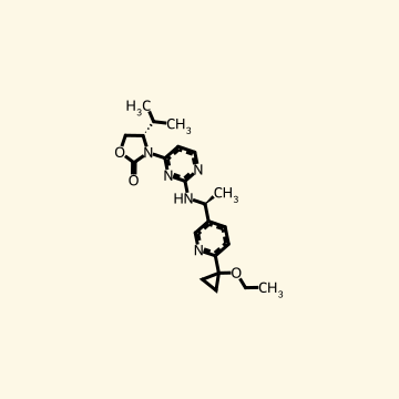 CCOC1(c2ccc([C@H](C)Nc3nccc(N4C(=O)OC[C@@H]4C(C)C)n3)cn2)CC1